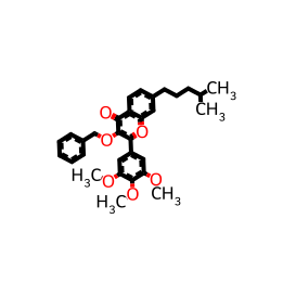 COc1cc(-c2oc3cc(CCCC(C)C)ccc3c(=O)c2OCc2ccccc2)cc(OC)c1OC